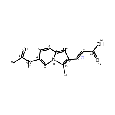 CC(=O)Nc1ccc2nc(/C=C/C(=O)O)c(C)n2c1